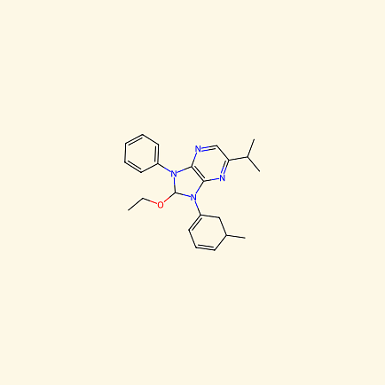 CCOC1N(C2=CC=CC(C)C2)c2nc(C(C)C)cnc2N1c1ccccc1